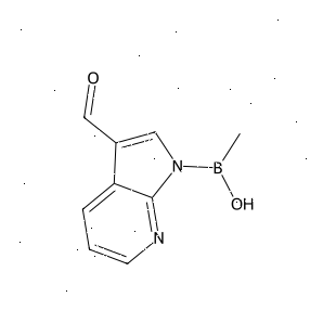 CB(O)n1cc(C=O)c2cccnc21